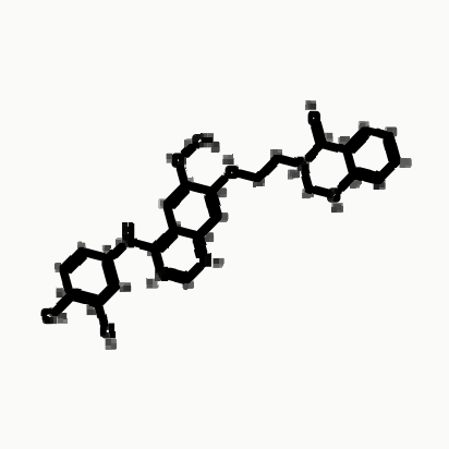 COc1cc2c(Nc3ccc(Cl)c(Cl)c3)ncnc2cc1OCCN1COc2ccccc2C1=O